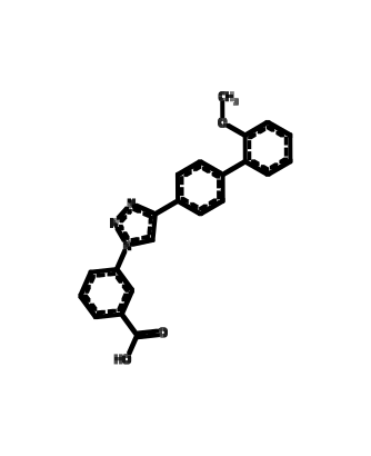 COc1ccccc1-c1ccc(-c2cn(-c3cccc(C(=O)O)c3)nn2)cc1